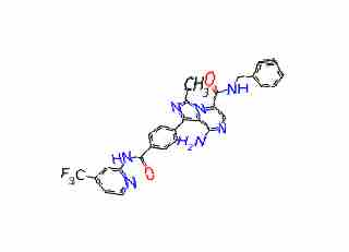 Cc1nc(-c2ccc(C(=O)Nc3cc(C(F)(F)F)ccn3)cc2)c2c(N)ncc(C(=O)NCc3ccccc3)n12